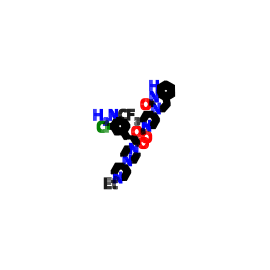 CCN1CCC(N2CCN(C(=O)[C@@H](Cc3cc(Cl)c(N)c(C(F)(F)F)c3)OC(=O)N3CCC(N4CCc5ccccc5NC4=O)CC3)CC2)CC1